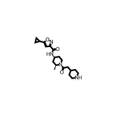 C[C@H]1C[C@@H](NC(=O)c2cc(C3CC3)on2)CCN1C(=O)CC1CCNCC1